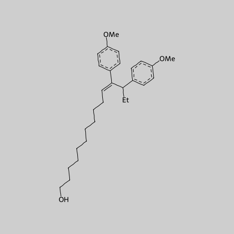 CCC(C(=CCCCCCCCCCCO)c1ccc(OC)cc1)c1ccc(OC)cc1